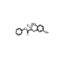 NN(Cc1cc(O)ccc1O)C(=O)Oc1ccccc1